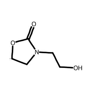 O=C1O[CH]CN1CCO